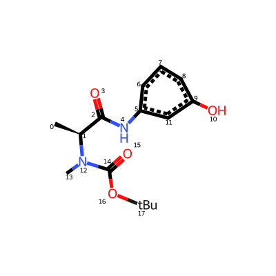 C[C@@H](C(=O)Nc1cccc(O)c1)N(C)C(=O)OC(C)(C)C